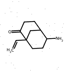 C=CC12CCC(N)C(CCC1=O)C2